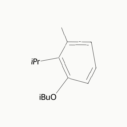 Cc1cccc(OCC(C)C)c1C(C)C